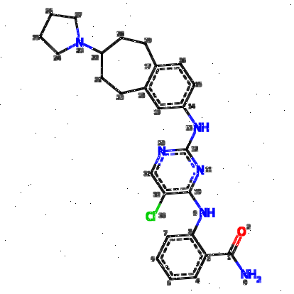 NC(=O)c1ccccc1Nc1nc(Nc2ccc3c(c2)CCC(N2CCCC2)CC3)ncc1Cl